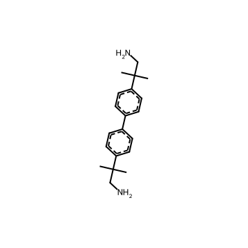 CC(C)(CN)c1ccc(-c2ccc(C(C)(C)CN)cc2)cc1